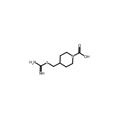 N=C(N)SCC1CCN(C(=O)O)CC1